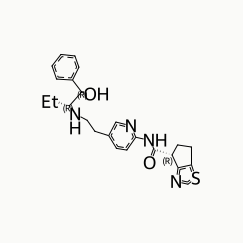 CC[C@@H](NCCc1ccc(NC(=O)[C@@H]2CCc3scnc32)nc1)[C@H](O)c1ccccc1